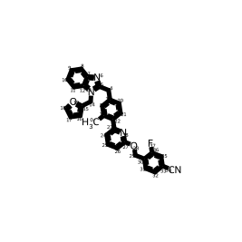 Cc1cc(Cc2nc3ccccc3n2Cc2ccco2)ccc1-c1cccc(OCc2ccc(C#N)cc2F)n1